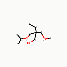 CCC(CO)(COC)COC(C)C